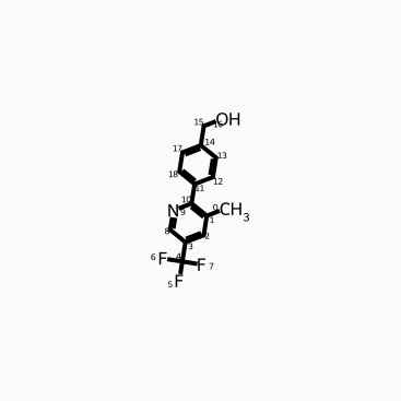 Cc1cc(C(F)(F)F)cnc1-c1ccc(CO)cc1